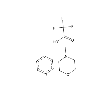 CN1CCOCC1.O=C(O)C(F)(F)F.c1ccncc1